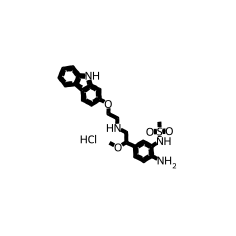 COC(CNCCOc1ccc2c(c1)[nH]c1ccccc12)c1ccc(N)c(NS(C)(=O)=O)c1.Cl